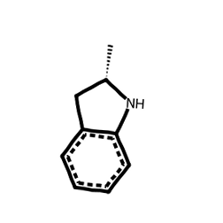 C[C@H]1Cc2ccccc2N1